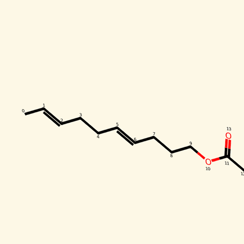 CC=CCCC=CCCCOC(C)=O